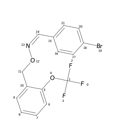 FC(F)(F)Oc1ccccc1CO/N=[C]\c1ccc(Br)cc1